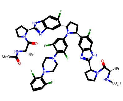 COC(=O)N[C@H](C(=O)N1CCC[C@H]1c1nc2cc([C@@H]3CC[C@@H](c4cc5nc([C@@H]6CCCN6C(=O)[C@@H](NC(=O)O)C(C)C)[nH]c5cc4F)N3c3cc(F)c(N4CCN(c5c(F)cccc5F)CC4)c(F)c3)c(F)cc2[nH]1)C(C)C